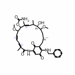 COC1/C=C\C=C(/C)C(=O)NC2=CC(=O)C(NCc3ccccc3)=C(C[C@@H](C)CC(OC)[C@H](O)C(C)/C=C(\C)C1OC(N)=O)C2=O